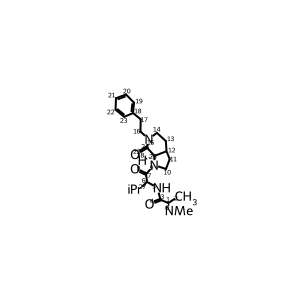 CN[C@@H](C)C(=O)NC(C(=O)N1CCC2CCN(CCc3ccccc3)C(=O)[C@@H]21)C(C)C